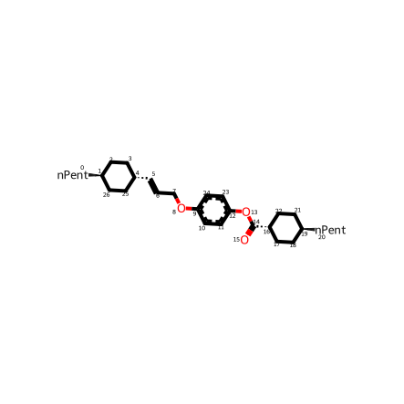 CCCCC[C@H]1CC[C@H](C=CCOc2ccc(OC(=O)[C@H]3CC[C@H](CCCCC)CC3)cc2)CC1